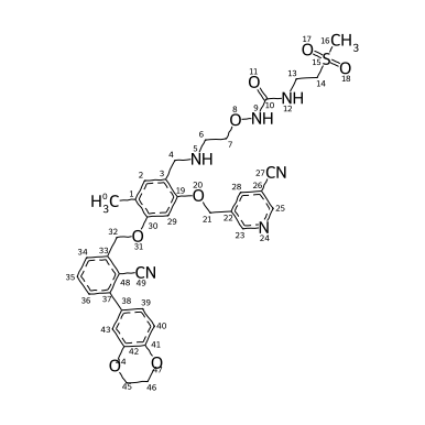 Cc1cc(CNCCONC(=O)NCCS(C)(=O)=O)c(OCc2cncc(C#N)c2)cc1OCc1cccc(-c2ccc3c(c2)OCCO3)c1C#N